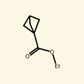 CCOC(=O)C12CC(C1)C2